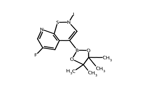 CC1(C)OB(C2=CN(I)Sc3ncc(F)cc32)OC1(C)C